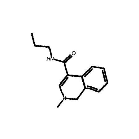 CCCNC(=O)C1=CN(C)Cc2ccccc21